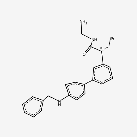 CC(C)C[C@@H](C(=O)NCN)c1cccc(-c2ccc(NCc3ccccc3)cc2)c1